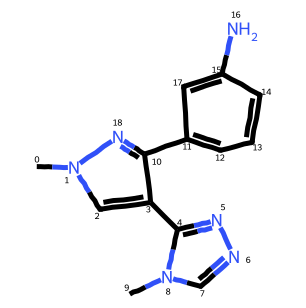 Cn1cc(-c2nncn2C)c(-c2cccc(N)c2)n1